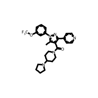 Cc1c(C(=O)N2CCC(N3CCCC3)CC2)c(-c2ccncc2)nn1-c1cccc(OC(F)(F)F)c1